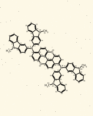 Cn1c2ccccc2c2cc(N(c3ccc4c(c3)c3ccccc3n4C)c3ccc4oc5ccc6c(N(c7ccc8c(c7)c7ccccc7n8C)c7ccc8c(c7)c7ccccc7n8C)ccc7oc8ccc3c4c8-c5c76)ccc21